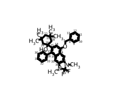 CN1c2cc3c(OCc4ccccc4)cc(C4(O)CC(C)(C)CC(C)(C)C4)c(-c4ccccc4)c3cc2N(C)C1(F)F